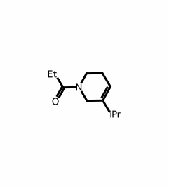 CCC(=O)N1CCC=C(C(C)C)C1